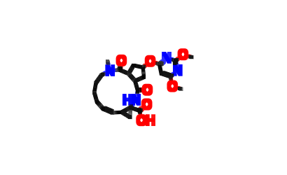 COc1cc(OC2CC3C(=O)NC4(C(=O)O)CC4C=CCCCCN(C)C(=O)C3C2)nc(OC)n1